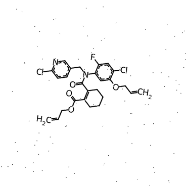 C=CCOC(=O)C1=C(C(=O)N(Cc2ccc(Cl)nc2)c2cc(OCC=C)c(Cl)cc2F)CCCC1